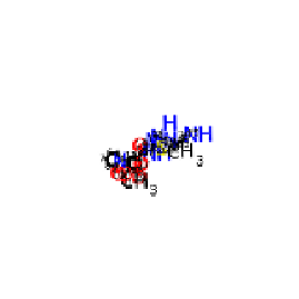 COc1c(N2CCCCC2=O)cc(C(=O)Nc2nnc(N/C(C)=C\C=N)s2)oc1=O